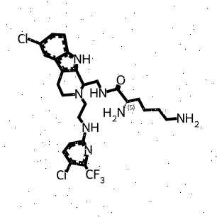 NCCCC[C@H](N)C(=O)NCC1c2[nH]c3ccc(Cl)cc3c2CCN1CCNc1ccc(Cl)c(C(F)(F)F)n1